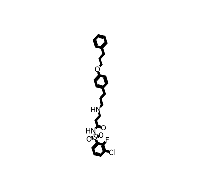 O=C(CCNCCCc1ccc(OCCCc2ccccc2)cc1)NS(=O)(=O)c1cccc(Cl)c1F